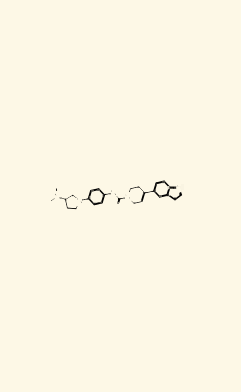 CN(C)C1CCN(c2ccc(NC(=O)N3CC=C(c4ccc5[nH]ccc5c4)CC3)cc2)C1